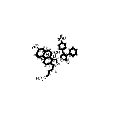 CS(=O)(=O)c1ccc(C2=C(c3ccccc3)C(=O)OC2)cc1.C[C@H](CCC(=O)O)[C@H]1CC[C@H]2[C@@H]3[C@@H](O)C[C@@H]4C[C@H](O)CC[C@]4(C)[C@H]3CC[C@]12C